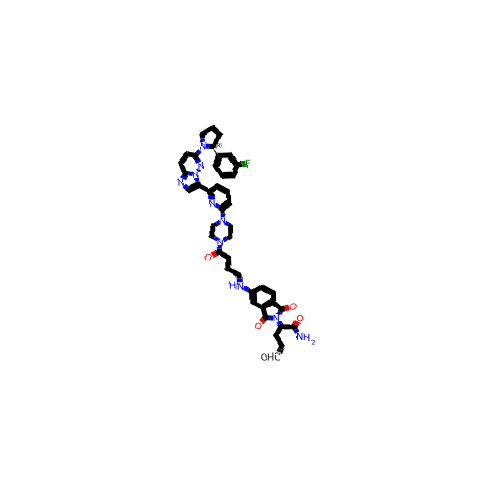 NC(=O)C(CCC=O)N1C(=O)c2ccc(NCCCC(=O)N3CCN(c4cccc(-c5cnc6ccc(N7CCC[C@@H]7c7cccc(F)c7)nn56)n4)CC3)cc2C1=O